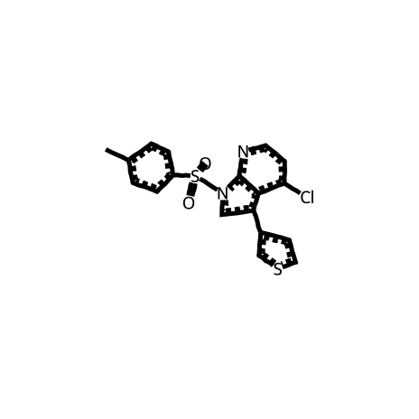 Cc1ccc(S(=O)(=O)n2cc(-c3ccsc3)c3c(Cl)ccnc32)cc1